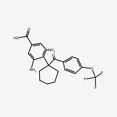 Nc1cc(C(=O)O)cc(N)c1C1(C(=O)c2ccc(OC(F)(F)F)cc2)CCCCC1